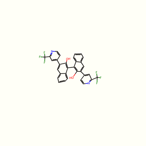 Oc1c(-c2ccnc(C(F)(F)F)c2)cc2ccccc2c1-c1c(O)c(-c2ccnc(C(F)(F)F)c2)cc2ccccc12